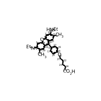 CC/N=c1\cc2oc3cc(NCC)c(C)cc3c(-c3ccc(OCCCCC(=O)O)cc3)c-2cc1C